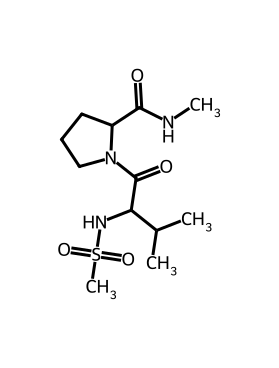 CNC(=O)C1CCCN1C(=O)C(NS(C)(=O)=O)C(C)C